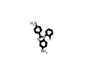 Nc1ccc(-c2nc3cc(N)ccc3n2-c2ccccc2F)cc1